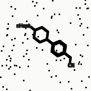 CCCCCCCC1CCC(c2ccc(CC#N)cc2)CC1